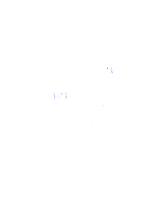 C=C1C=CNC=C1N